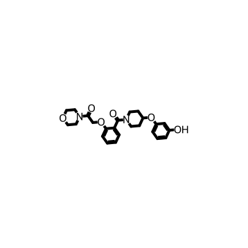 O=C(COc1ccccc1C(=O)N1CCC(Oc2cccc(O)c2)CC1)N1CCOCC1